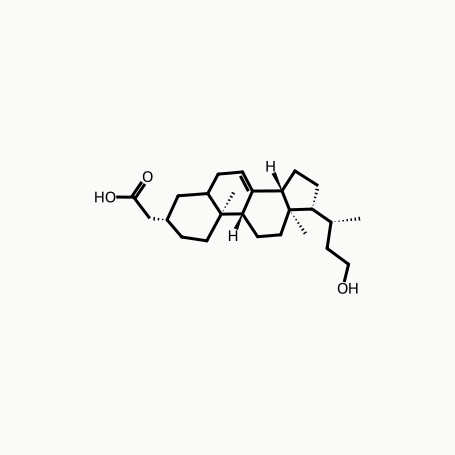 C[C@H](CCO)[C@H]1CC[C@H]2C3=CCC4C[C@@H](CC(=O)O)CC[C@]4(C)[C@H]3CC[C@]12C